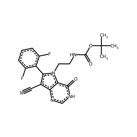 CC(C)(C)OC(=O)NCCn1c(-c2c(F)cccc2F)c(C#N)c2nc[nH]c(=O)c21